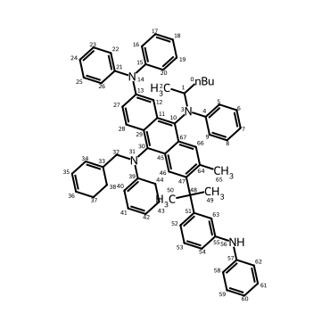 CCCCC(C)N(c1ccccc1)c1c2cc(N(c3ccccc3)c3ccccc3)ccc2c(N(CC2=CC=CCC2)C2=CC=CCC2)c2cc(C(C)(C)c3cccc(Nc4ccccc4)c3)c(C)cc12